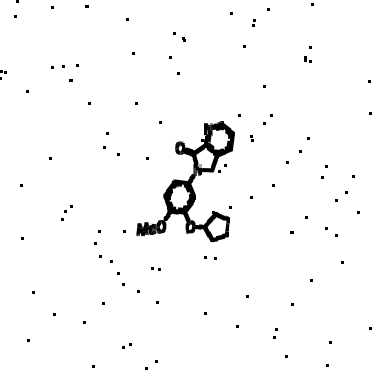 COc1ccc(N2Cc3cccnc3C2=O)cc1OC1CCCC1